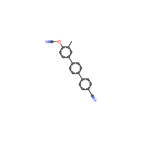 Cc1cc(-c2ccc(-c3ccc(C#N)cc3)cc2)ccc1OC#N